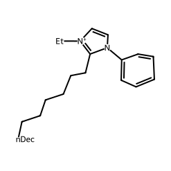 CCCCCCCCCCCCCCCCc1n(-c2ccccc2)cc[n+]1CC